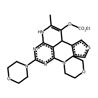 CCOC(=O)OC1=C(C)Nc2nc(N3CCOCC3)nc(N3CCOCC3)c2C1c1ccsc1